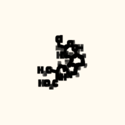 CC(Cn1ncc2ccc(O)c(NC(=O)CCl)c21)NC(=O)O